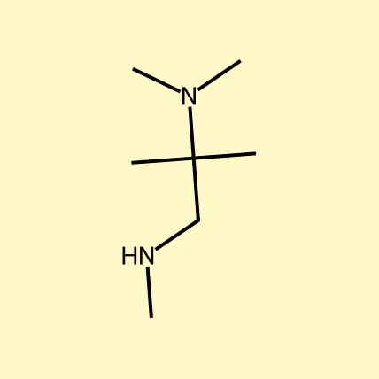 CNCC(C)(C)N(C)C